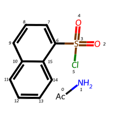 CC(N)=O.O=S(=O)(Cl)c1cccc2ccccc12